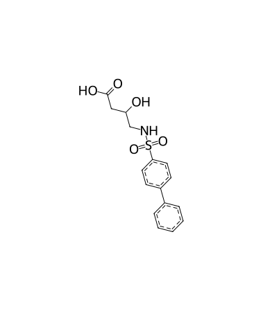 O=C(O)CC(O)CNS(=O)(=O)c1ccc(-c2ccccc2)cc1